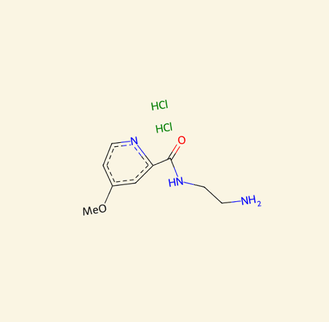 COc1ccnc(C(=O)NCCN)c1.Cl.Cl